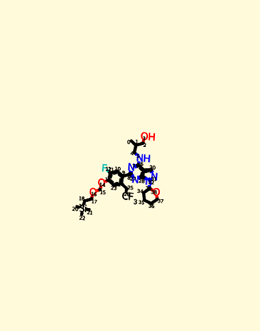 CC(CO)CNc1nc(-c2cc(F)c(OCOCC[Si](C)(C)C)cc2CC(F)(F)F)nc2c1cnn2C1CCCCO1